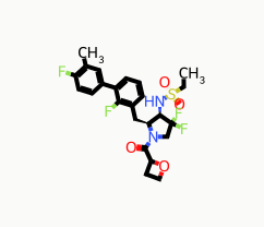 CCS(=O)(=O)N[C@@H]1[C@H](Cc2cccc(-c3ccc(F)c(C)c3)c2F)N(C(=O)C2CCO2)CC1(F)F